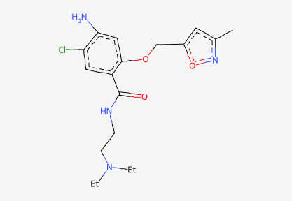 CCN(CC)CCNC(=O)c1cc(Cl)c(N)cc1OCc1cc(C)no1